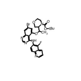 CC(Oc1cc(Br)cc2ncnc(Nc3ccc4ncccc4c3F)c12)C1COCCN1C(=O)OC(C)(C)C